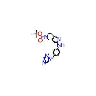 CC(C)(C)OC(=O)N1CCc2cnc(Nc3ccc(Cn4cncn4)cc3)cc2C1